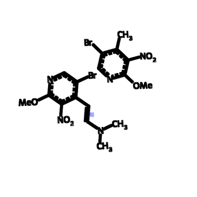 COc1ncc(Br)c(/C=C/N(C)C)c1[N+](=O)[O-].COc1ncc(Br)c(C)c1[N+](=O)[O-]